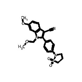 COCn1c(-c2ccc(N3CCCS3(=O)=O)cc2)c(C#N)c2ccc(OC)cc21